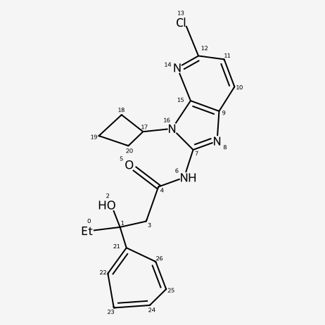 CCC(O)(CC(=O)Nc1nc2ccc(Cl)nc2n1C1CCC1)c1ccccc1